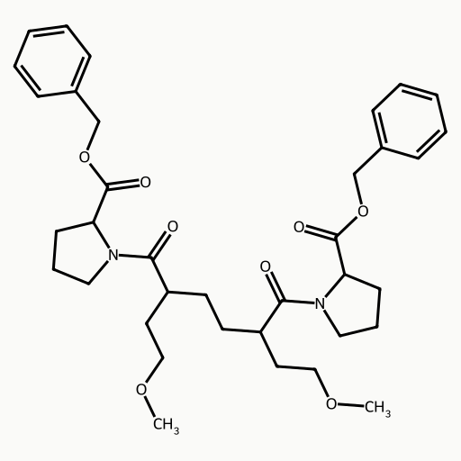 COCCC(CCC(CCOC)C(=O)N1CCCC1C(=O)OCc1ccccc1)C(=O)N1CCCC1C(=O)OCc1ccccc1